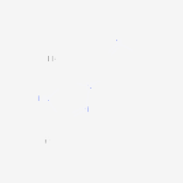 CC(C)C1=NN(c2cccnc2)C(C=O)N1